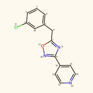 Clc1cccc(Cc2nc(-c3ccncc3)no2)c1